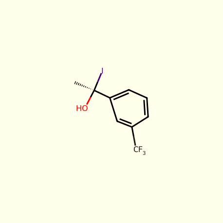 C[C@](O)(I)c1cccc(C(F)(F)F)c1